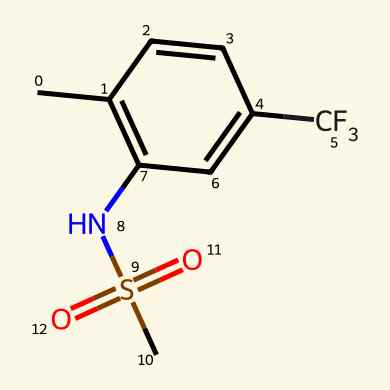 Cc1ccc(C(F)(F)F)cc1NS(C)(=O)=O